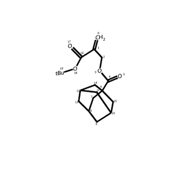 C=C(COC(=O)C12CC3CC(CC(C3)C1)C2)C(=O)OC(C)(C)C